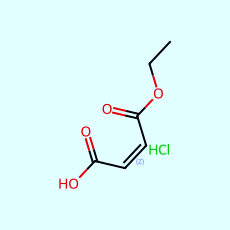 CCOC(=O)/C=C\C(=O)O.Cl